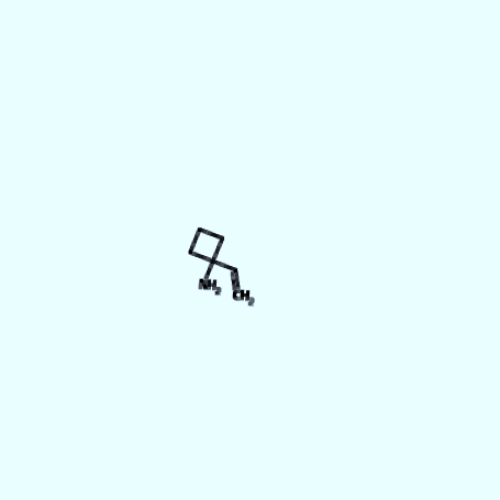 C=CC1(N)CCC1